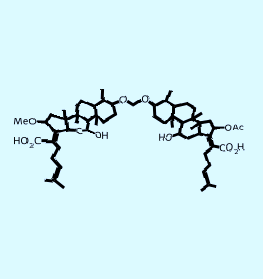 COC1CC2(C)C(CC(O)C3C4(C)CCC(OCOC5CCC6(C)C(CCC7(C)C6C(O)CC6/C(=C(\CCC=C(C)C)C(=O)O)C(OC(C)=O)CC67C)C5C)C(C)C4CCC32C)/C1=C(\CCC=C(C)C)C(=O)O